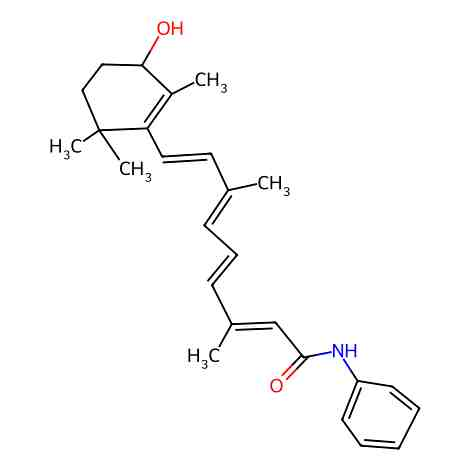 CC(C=CC1=C(C)C(O)CCC1(C)C)=CC=CC(C)=CC(=O)Nc1ccccc1